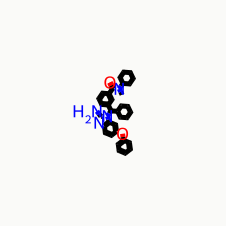 CN(C(=O)c1cccc(C(C2CCCCC2)n2c(N)nc3ccc(Oc4ccccc4)cc32)c1)C1CCCCC1